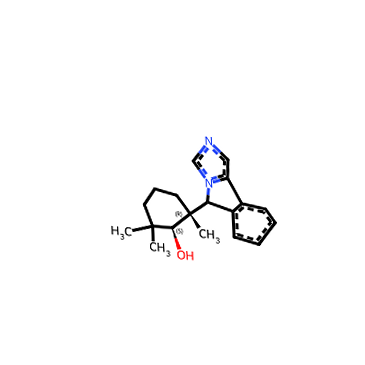 CC1(C)CCC[C@](C)(C2c3ccccc3-c3cncn32)[C@H]1O